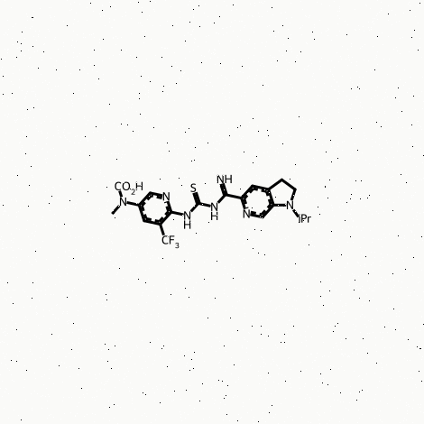 CC(C)N1CCc2cc(C(=N)NC(=S)Nc3ncc(N(C)C(=O)O)cc3C(F)(F)F)ncc21